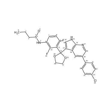 CCC[S+]([O-])Nc1ccc(F)c(C2(c3c[nH]c4ncc(-c5ccc(Cl)cc5)cc34)OCCO2)c1F